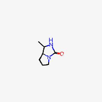 CC1NC(=O)N2CCCC12